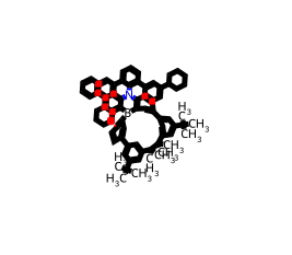 CC(C)(C)c1cc2cc(c1)C(C)(C)C(C)(C)c1cc(cc(C(C)(C)C)c1)-c1ccc3c(c1)B1c4cc-2ccc4Oc2cc(-c4ccccc4)cc(c21)N3c1c(-c2cccc(C3CCCCC3)c2)cccc1-c1cccc(C2CCCCC2)c1